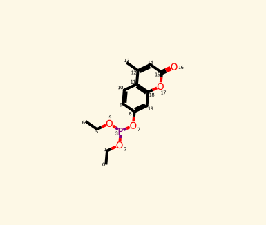 CCOP(OCC)Oc1ccc2c(C)cc(=O)oc2c1